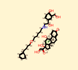 C[C@H]1C[C@H]2[C@@H]3CCC4=CC(=O)C=C[C@]4(C)[C@@]3(Cl)[C@@H](O)C[C@]2(C)[C@@]1(O)C(=O)CO.OCc1cc(C(O)CNCCCCCCOCCCCc2ccccc2)ccc1O